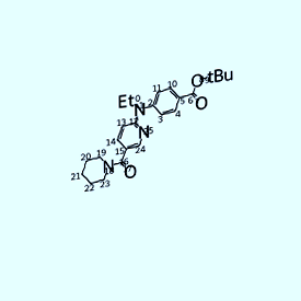 CCN(c1ccc(C(=O)OC(C)(C)C)cc1)c1ccc(C(=O)N2CCCCC2)cn1